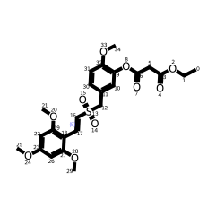 CCOC(=O)CC(=O)Oc1cc(CS(=O)(=O)/C=C/c2c(OC)cc(OC)cc2OC)ccc1OC